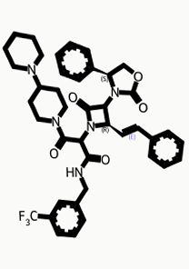 O=C(NCc1cccc(C(F)(F)F)c1)C(C(=O)N1CCC(N2CCCCC2)CC1)N1C(=O)C(N2C(=O)OC[C@@H]2c2ccccc2)[C@H]1/C=C/c1ccccc1